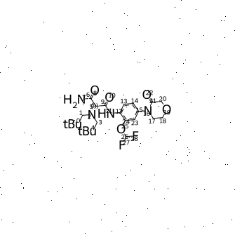 CC(C)(C)CN(CC(C)(C)C)[C@H](C(N)=O)C(=O)Nc1ccc(N2CCOCC2=O)cc1OC(F)F